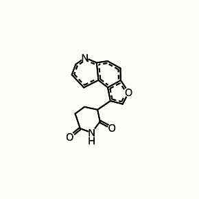 O=C1CCC(c2coc3ccc4ncccc4c23)C(=O)N1